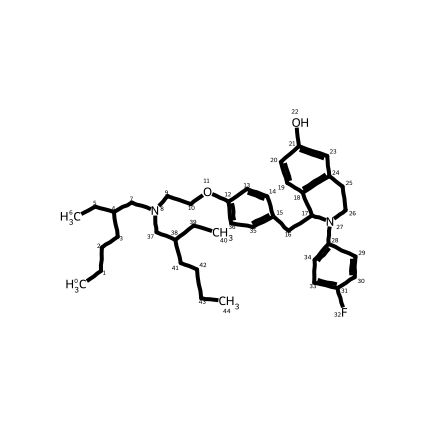 CCCCC(CC)CN(CCOc1ccc(CC2c3ccc(O)cc3CCN2c2ccc(F)cc2)cc1)CC(CC)CCCC